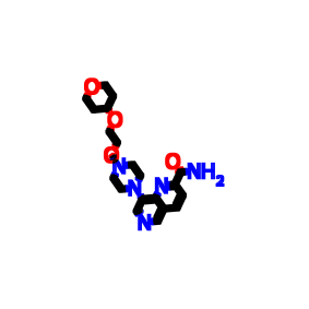 NC(=O)c1ccc2cncc(N3CCN(OCCOC4CCOCC4)CC3)c2n1